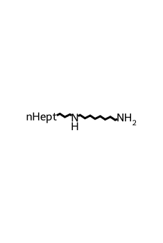 CCCCCCCCCCNCCCCCCCCN